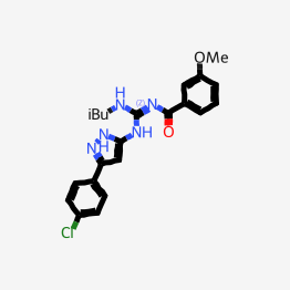 CCC(C)N/C(=N/C(=O)c1cccc(OC)c1)Nc1cc(-c2ccc(Cl)cc2)n[nH]1